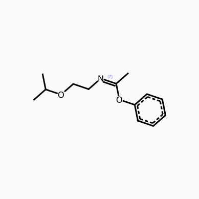 C/C(=N/CCOC(C)C)Oc1ccccc1